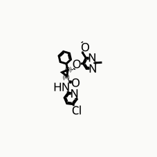 COCc1nc(C)ncc1OC[C@@]1(C2C=CC=CC2)C[C@H]1C(=O)Nc1ccc(Cl)cn1